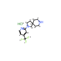 Cl.FC(F)(F)c1ccnc(N2CCC3(CCNCC3)C2)c1